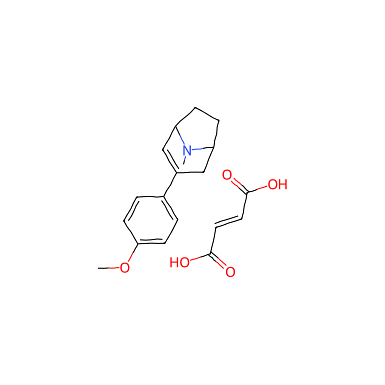 COc1ccc(C2=CC3CCC(C2)N3C)cc1.O=C(O)/C=C/C(=O)O